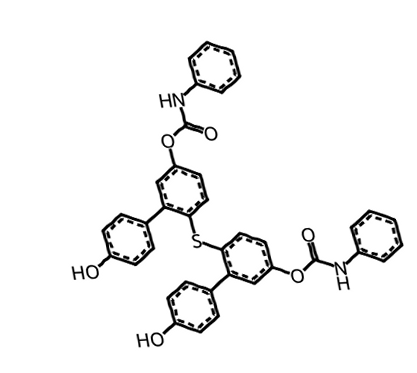 O=C(Nc1ccccc1)Oc1ccc(Sc2ccc(OC(=O)Nc3ccccc3)cc2-c2ccc(O)cc2)c(-c2ccc(O)cc2)c1